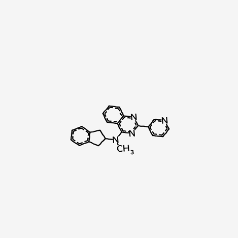 CN(c1nc(-c2cccnc2)nc2ccccc12)C1Cc2ccccc2C1